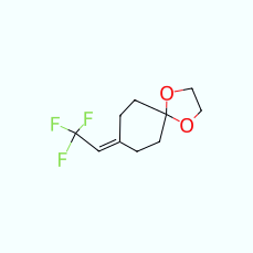 FC(F)(F)C=C1CCC2(CC1)OCCO2